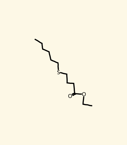 CCCCCCSCCCC(=O)OCC